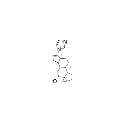 COC1CC2C3CC=C(n4ccnc4)[C@@]3(C)CCC2[C@@]2(C)CCC3CC312